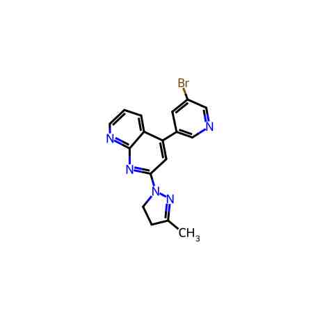 CC1=NN(c2cc(-c3cncc(Br)c3)c3cccnc3n2)CC1